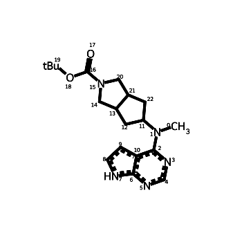 CN(c1ncnc2[nH]ccc12)C1CC2CN(C(=O)OC(C)(C)C)CC2C1